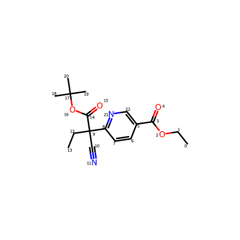 CCOC(=O)c1ccc(C(C#N)(CC)C(=O)OC(C)(C)C)nc1